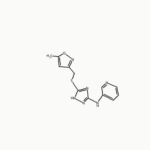 Cc1cc(CSc2nc(Nc3cccnc3)n[nH]2)no1